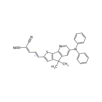 CC1(C)c2cc(N(c3ccccc3)c3ccccc3)cnc2-c2sc(/C=C/C=C(C#N)C#N)cc21